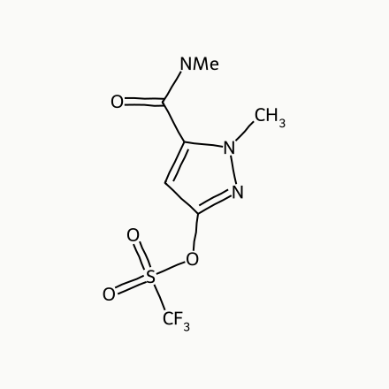 CNC(=O)c1cc(OS(=O)(=O)C(F)(F)F)nn1C